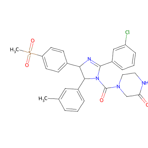 Cc1cccc(C2C(c3ccc(S(C)(=O)=O)cc3)N=C(c3cccc(Cl)c3)N2C(=O)N2CCNC(=O)C2)c1